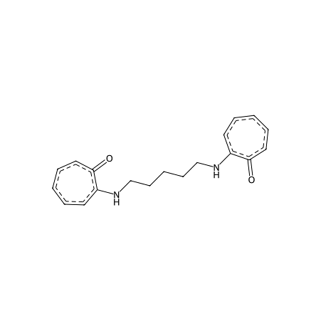 O=c1cccccc1NCCCCCNc1cccccc1=O